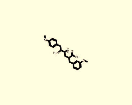 COc1ccc(CC(N)C(O)CC(Cc2cccc(OC)c2)C(=O)O)cc1